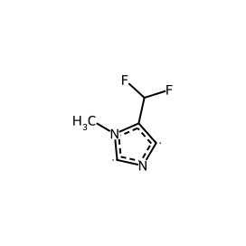 Cn1[c]n[c]c1C(F)F